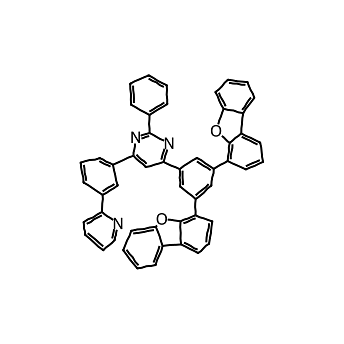 c1ccc(-c2nc(-c3cccc(-c4ccccn4)c3)cc(-c3cc(-c4cccc5c4oc4ccccc45)cc(-c4cccc5c4oc4ccccc45)c3)n2)cc1